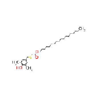 CCCCCCCCCCCCCCCCCCOC(=O)CSCc1cc(C)c(O)c(C)c1